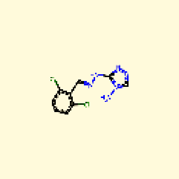 Nn1cnnc1NN=Cc1c(Cl)cccc1Cl